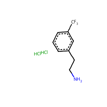 Cl.Cl.NCCc1cccc(C(F)(F)F)c1